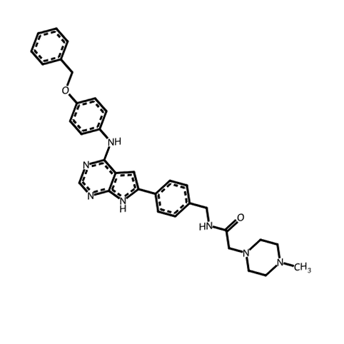 CN1CCN(CC(=O)NCc2ccc(-c3cc4c(Nc5ccc(OCc6ccccc6)cc5)ncnc4[nH]3)cc2)CC1